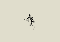 COCCCC#Cc1ncc(-c2cc(NC(=O)c3ccnc(C(F)(F)F)c3)ccc2C)cc1N1CCOCC1